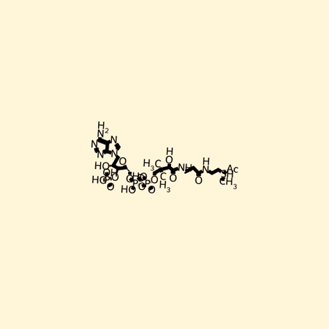 CC(=O)[SH](C)CCNC(=O)CCNC(=O)C(O)C(C)(C)COP(=O)(O)OP(=O)(O)OC[C@H]1O[C@@H](n2cnc3c(N)ncnc32)[C@H](O)[C@@H]1OP(=O)(O)O